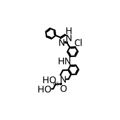 O=C([C@@H](O)CO)N1CCc2c(cccc2Nc2ccc(Cl)c(-c3nc(-c4ccccc4)c[nH]3)c2)C1